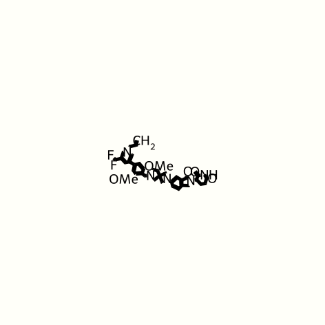 C=CCN1C=C(c2cc(OC)c(CN3CCC4(C3)CN(c3ccc5c(c3)C(=O)N(C3CCC(=O)NC3=O)C5)C4)c(OC)c2)C=C(C(F)F)C1